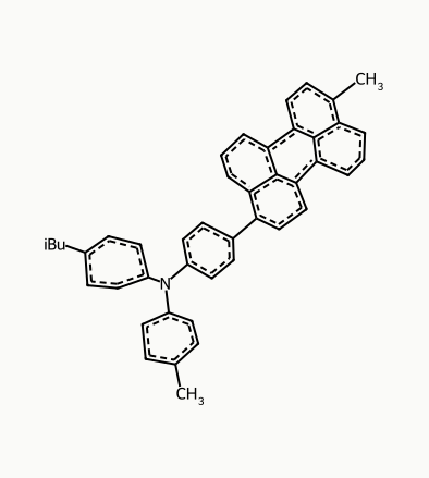 CCC(C)c1ccc(N(c2ccc(C)cc2)c2ccc(-c3ccc4c5cccc6c(C)ccc(c7cccc3c74)c65)cc2)cc1